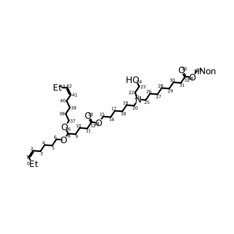 CC/C=C\CCCCOC(CCCC(=O)OCCCCCCN(CCO)CCCCCCCC(=O)OCCCCCCCCC)OCCCC/C=C\CC